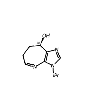 CC(C)n1cnc2c1N=CCC[C@H]2O